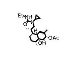 CCNC(=O)N(C[C@@H](C)[C@@H]1CC[C@@H](C)[C@]2(O)[C][C@@H](OC(C)=O)C(C)=C[C@H]12)C1CC1